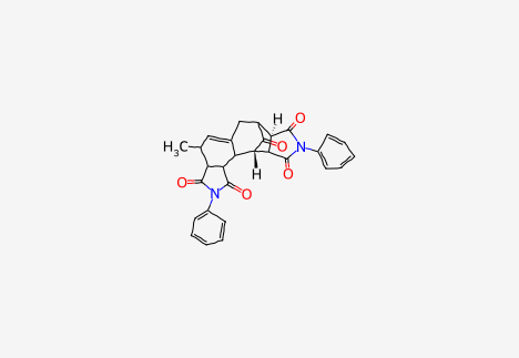 CC1C=C2CC3C(=O)[C@@H](C2C2C(=O)N(c4ccccc4)C(=O)C12)C1C(=O)N(c2ccccc2)C(=O)[C@H]31